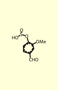 COc1cc(C=O)ccc1OS(=O)O